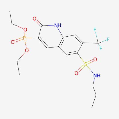 CCCNS(=O)(=O)c1cc2cc(P(=O)(OCC)OCC)c(=O)[nH]c2cc1C(F)(F)F